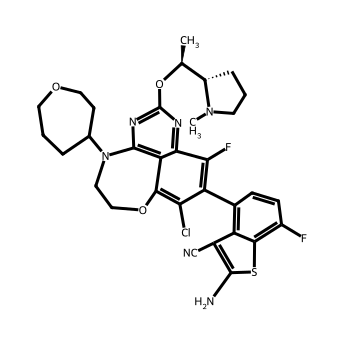 C[C@H](Oc1nc2c3c(c(Cl)c(-c4ccc(F)c5sc(N)c(C#N)c45)c(F)c3n1)OCCN2C1CCCOCC1)[C@@H]1CCCN1C